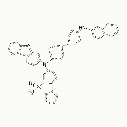 CC1(C)c2ccccc2-c2ccc(N(c3ccc(-c4ccc(Nc5ccc6ccccc6c5)cc4)cc3)c3ccc4c(c3)sc3ccccc34)cc21